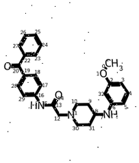 COc1cccc(NC2CCN(CC(=O)Nc3ccc(C(=O)c4ccccc4)cc3)CC2)c1